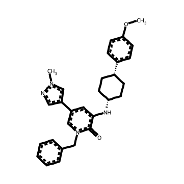 COc1ccc([C@H]2CC[C@@H](Nc3cc(-c4cnn(C)c4)cn(Cc4ccccc4)c3=O)CC2)cc1